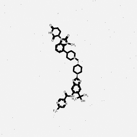 Cn1c(=O)n(C2CCC(=O)NC2=O)c2cccc(C3CCN(C[C@H]4CC[C@H](c5nc6cc(C(C)(C)O)c(NC(=O)c7cnc(C(F)(F)F)cn7)cc6s5)CC4)CC3)c21